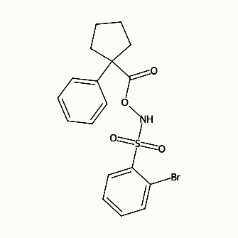 O=C(ONS(=O)(=O)c1ccccc1Br)C1(c2ccccc2)CCCC1